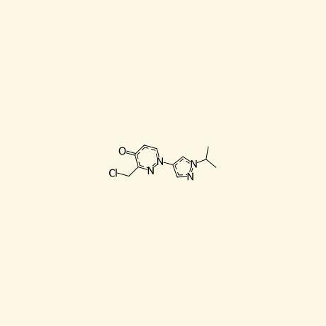 CC(C)n1cc(-n2ccc(=O)c(CCl)n2)cn1